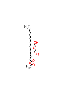 CCCCCCCCCCCCCCCCCC(=O)OC(C)=O.OCCOCCO